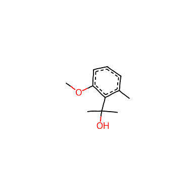 COc1cccc(C)c1C(C)(C)O